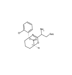 NC(C[SeH])C1=N[C@]2(c3ccccc3Cl)CCC[C@H](O1)C2=O